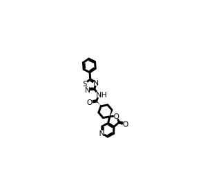 O=C1O[C@]2(CC[C@@H](C(=O)Nc3nsc(-c4ccccc4)n3)CC2)c2cnccc21